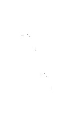 NN(I)/C=C\NI